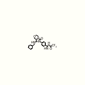 N=C(NC(=O)C(F)(F)F)c1ccc(NC(=O)N2CCOCC2CNCc2ccccc2)cc1